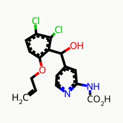 C=CCOc1ccc(Cl)c(Cl)c1C(O)c1ccnc(NC(=O)O)c1